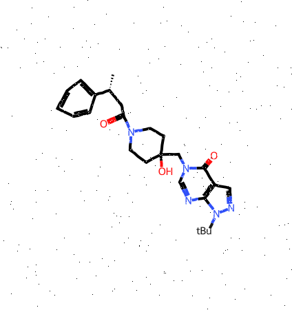 C[C@H](CC(=O)N1CCC(O)(Cn2cnc3c(cnn3C(C)(C)C)c2=O)CC1)c1ccccc1